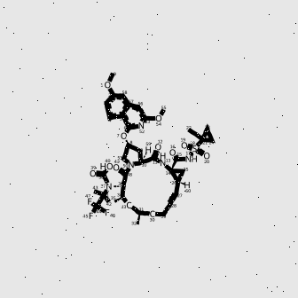 COc1ccc2c(O[C@@H]3C[C@H]4C(=O)N[C@]5(C(=O)NS(=O)(=O)C6(C)CC6)C[C@H]5/C=C\CC[C@@H](C)C[C@@H](C)[C@H](N(C(=O)O)C(C)(C)C(F)(F)F)C(=O)N4C3)nc(OC)cc2c1